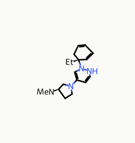 CC[C@]1(N2C=C(N3CC[C@@H](NC)C3)C=CN2)C=CC=CC1